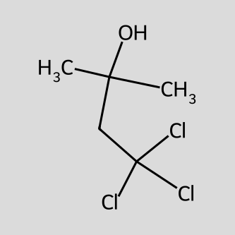 CC(C)(O)CC(Cl)(Cl)Cl